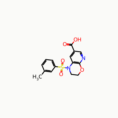 Cc1cccc(S(=O)(=O)N2CCOc3ncc(C(=O)O)cc32)c1